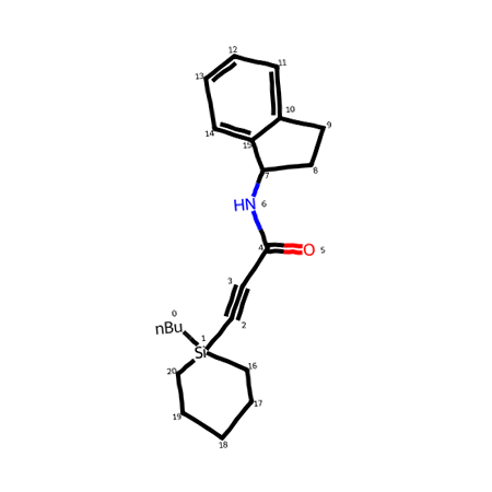 CCCC[Si]1(C#CC(=O)NC2CCc3ccccc32)CCCCC1